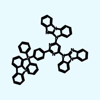 c1ccc([Si](c2ccccc2)(c2ccc(-c3nc(-n4c5ccccc5n5c6ccccc6nc45)cc(-n4c5ccccc5n5c6ccccc6nc45)n3)cc2)c2cccc3c2sc2ccccc23)cc1